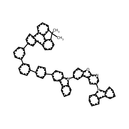 CC1(C)c2cccc3c4ccc(-c5cccc(-c6cccc(-c7ccc(-c8ccc9c(c8)c8ccccc8n9-c8ccc9oc%10ncc(-n%11c%12ccccc%12c%12ccccc%12%11)cc%10c9c8)cc7)c6)c5)cc4c4cccc1c4c23